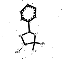 CCCC1(CCC)OC(c2ccccc2)N[C@H]1C(C)CC